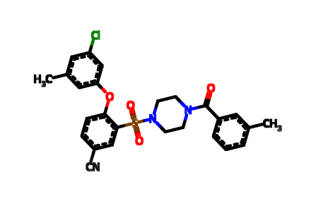 Cc1cc(Cl)cc(Oc2ccc(C#N)cc2S(=O)(=O)N2CCN(C(=O)c3cccc(C)c3)CC2)c1